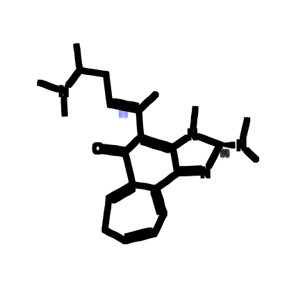 C/C(=C\CC(C)N(C)C)C1=C2C(=N[C@@H](N(C)C)N2C)C2=CC=CCC=C2C1=O